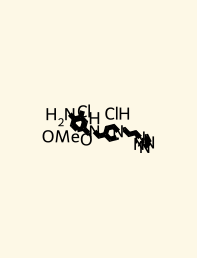 COc1cc(N)c(Cl)cc1C(=O)NCC1CCN(CCCn2cnnn2)CC1.Cl